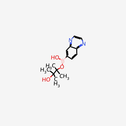 CC(C)(O)C(C)(C)OB(O)c1ccc2nccnc2c1